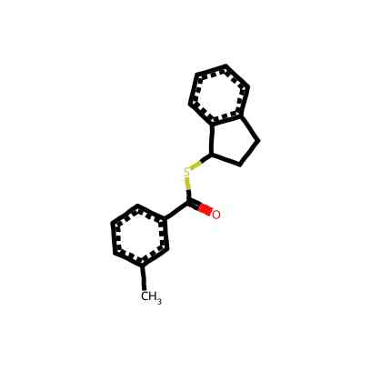 Cc1cccc(C(=O)SC2CCc3ccccc32)c1